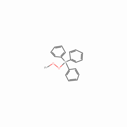 CC(C)OO[Si](c1ccccc1)(c1ccccc1)c1ccccc1